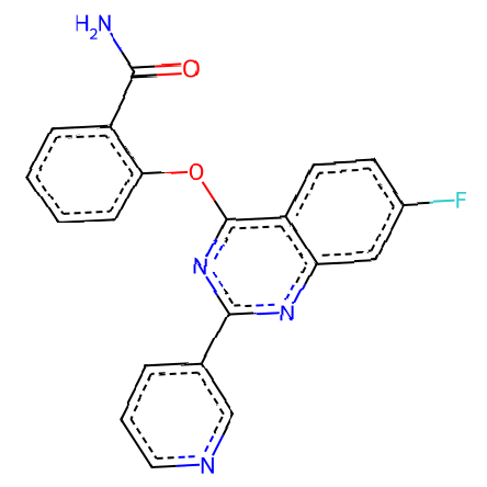 NC(=O)c1ccccc1Oc1nc(-c2cccnc2)nc2cc(F)ccc12